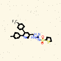 Cc1ccc(-c2ncc(CN/C(N)=N/S(=O)(=O)c3cccs3)cc2-c2ccc(C(F)(F)F)cc2)cc1